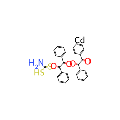 NC(=S)S.O=C(C(=O)c1ccccc1)c1ccccc1.O=C(C(=O)c1ccccc1)c1ccccc1.[Cd]